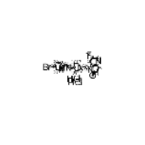 Cl.Cl.O=c1ccc2ncc(F)cc2n1CCN1CCC(NCc2ccc(Br)cn2)CC1